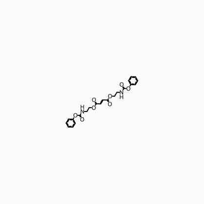 O=C(/C=C/C(=O)OCCNC(=O)Oc1ccccc1)OCCNC(=O)Oc1ccccc1